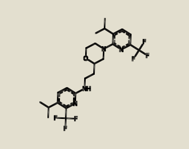 CC(C)c1ccc(C(F)(F)F)nc1N1CCOC(CCNc2ccc(C(C)C)c(C(F)(F)F)n2)C1